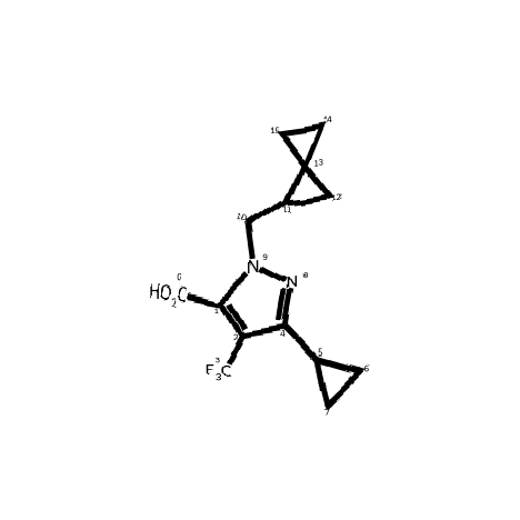 O=C(O)c1c(C(F)(F)F)c(C2CC2)nn1CC1CC12CC2